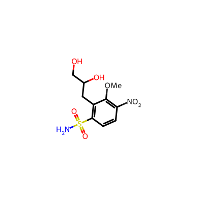 COc1c([N+](=O)[O-])ccc(S(N)(=O)=O)c1CC(O)CO